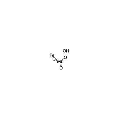 [Fe].[O]=[Mn](=[O])[O]O